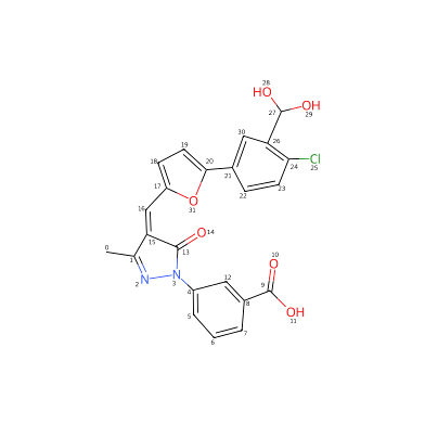 CC1=NN(c2cccc(C(=O)O)c2)C(=O)/C1=C\c1ccc(-c2ccc(Cl)c(C(O)O)c2)o1